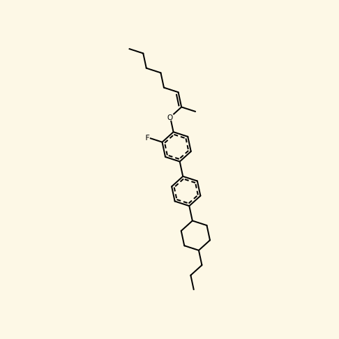 CCCCC/C=C(/C)Oc1ccc(-c2ccc(C3CCC(CCC)CC3)cc2)cc1F